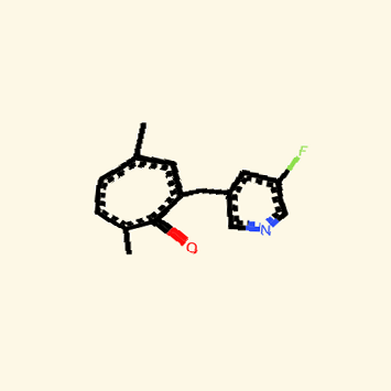 Cc1ccc(C)c(=O)c(-c2cncc(F)c2)c1